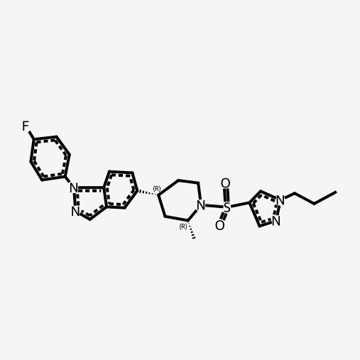 CCCn1cc(S(=O)(=O)N2CC[C@@H](c3ccc4c(cnn4-c4ccc(F)cc4)c3)C[C@H]2C)cn1